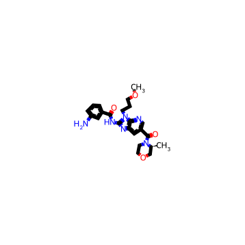 COCCCn1c(NC(=O)c2cccc(N)c2)nc2cc(C(=O)N3CCOC[C@H]3C)cnc21